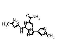 Cc1cc(Nc2nc(C(N)=O)cn3c(-c4cnn(C)c4)cnc23)sn1